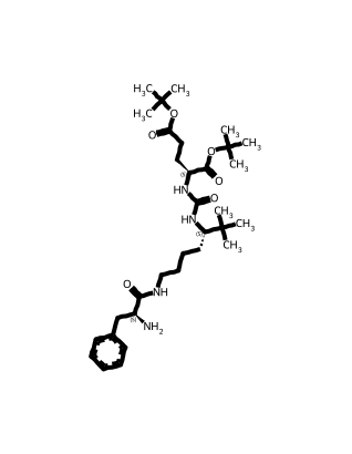 CC(C)(C)OC(=O)CC[C@H](NC(=O)N[C@@H](CCCCNC(=O)[C@@H](N)Cc1ccccc1)C(C)(C)C)C(=O)OC(C)(C)C